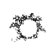 CC1(C)NC(=O)[C@H](Cc2ccc(O)cc2)NC(=O)[C@H](Cc2cnc[nH]2)NC(=O)[C@H](CC(=O)O)NC(=O)[C@H](Cc2c[nH]c3ccc(F)cc23)NC(=O)[C@H](Cc2c[nH]c3ccc(F)cc23)NC(=O)CNC(=O)[C@H](CCCCN)NC(=O)CCSCc2cccc(c2)CSC[C@@H](C(N)=O)NC1=O